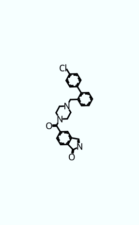 O=C1N=Cc2cc(C(=O)N3CCN(Cc4ccccc4-c4ccc(Cl)cc4)CC3)ccc21